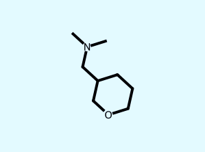 CN(C)CC1CCCOC1